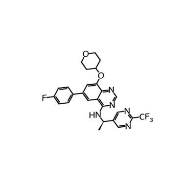 C[C@@H](Nc1ncnc2c(OC3CCOCC3)cc(-c3ccc(F)cc3)cc12)c1cnc(C(F)(F)F)nc1